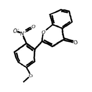 COc1ccc([N+](=O)[O-])c(-c2cc(=O)c3ccccc3o2)c1